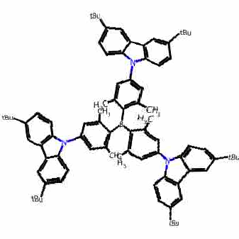 Cc1cc(-n2c3ccc(C(C)(C)C)cc3c3cc(C(C)(C)C)ccc32)cc(C)c1B(c1c(C)cc(-n2c3ccc(C(C)(C)C)cc3c3cc(C(C)(C)C)ccc32)cc1C)c1c(C)cc(-n2c3ccc(C(C)(C)C)cc3c3cc(C(C)(C)C)ccc32)cc1C